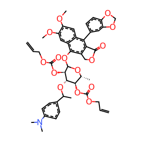 C=CCOC(=O)O[C@H]1[C@H](OC(C)c2ccc(N(C)C)cc2)[C@@H](OC(=O)OCC=C)C(Oc2c3c(c(-c4ccc5c(c4)OCO5)c4cc(OC)c(OC)cc24)C(=O)OC3)O[C@@H]1C